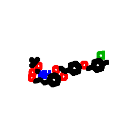 Cc1ccc(COc2ccc(C3COc4cc(C[C@@H](C=O)NC(=O)OC(C)(C)C)ccc4O3)cc2)cc1Cl